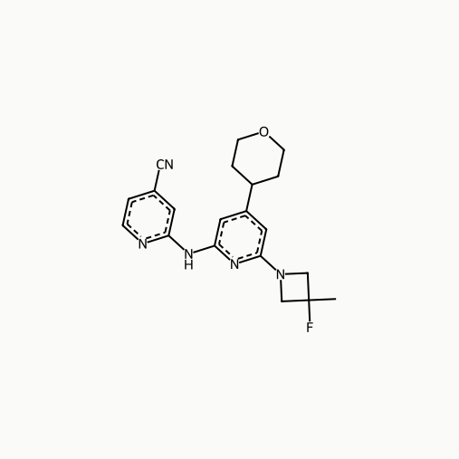 CC1(F)CN(c2cc(C3CCOCC3)cc(Nc3cc(C#N)ccn3)n2)C1